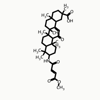 COC(=O)/C=C/C(=O)NC1CCC2(C)C(CCC3(C)C2C(=O)C=C2C4CC(C)(C(=O)O)CCC4(C)CCC23C)C1(C)C